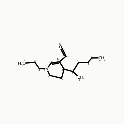 CCCCC(C)C1CCN(CCC)C=C1C=O